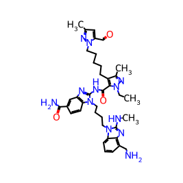 CCn1nc(C)c(CCCCCn2nc(C)cc2C=O)c1C(=O)Nc1nc2cc(C(N)=O)ccc2n1CCCCn1c(NC)nc2c(CN)cccc21